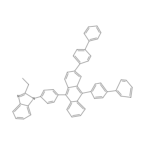 CCc1nc2ccccc2n1-c1ccc(-c2c3ccccc3c(-c3ccc(-c4ccccc4)cc3)c3cc(-c4ccc(-c5ccccc5)cc4)ccc23)cc1